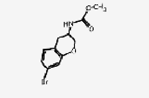 COC(=O)N[C@H]1COc2cc(Br)ccc2C1